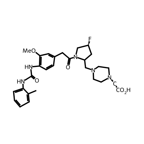 COc1cc(CC(=O)N2C[C@@H](F)CC2CN2CCN(CC(=O)O)CC2)ccc1NC(=O)Nc1ccccc1C